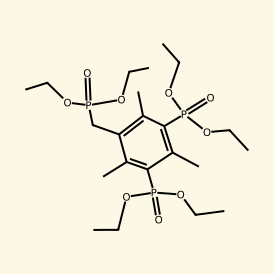 CCOP(=O)(Cc1c(C)c(P(=O)(OCC)OCC)c(C)c(P(=O)(OCC)OCC)c1C)OCC